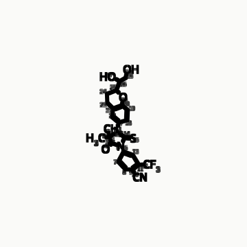 CC1(C)C(=O)N(c2ccc(C#N)c(C(F)(F)F)c2)C(=S)N1c1ccc2c(c1)CCC(C(O)CO)O2